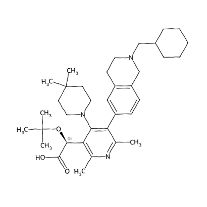 Cc1nc(C)c([C@H](OC(C)(C)C)C(=O)O)c(N2CCC(C)(C)CC2)c1-c1ccc2c(c1)CCN(CC1CCCCC1)C2